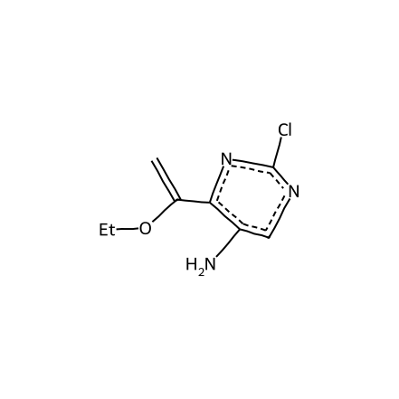 C=C(OCC)c1nc(Cl)ncc1N